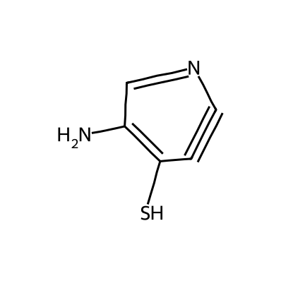 Nc1cnc#cc1S